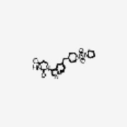 O=C1CCN(c2cnn3ccc(CC4CCN(S(=O)(=O)N5CCCC5)CC4)cc23)C(=O)N1